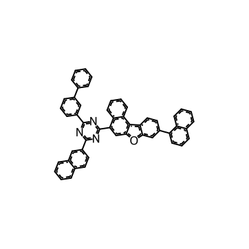 c1ccc(-c2cccc(-c3nc(-c4ccc5ccccc5c4)nc(-c4cc5oc6cc(-c7cccc8ccccc78)ccc6c5c5ccccc45)n3)c2)cc1